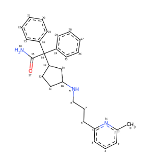 Cc1cccc(CCCNC2CCC(C(C(N)=O)(c3ccccc3)c3ccccc3)C2)n1